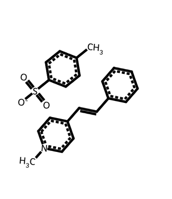 C[n+]1ccc(C=Cc2ccccc2)cc1.Cc1ccc(S(=O)(=O)[O-])cc1